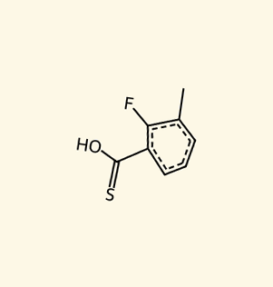 Cc1cccc(C(O)=S)c1F